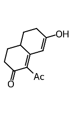 CC(=O)C1=C2C=C(O)CCC2CCC1=O